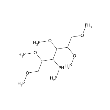 POCC(OP)C(OP)C(PP)C(COP)OP